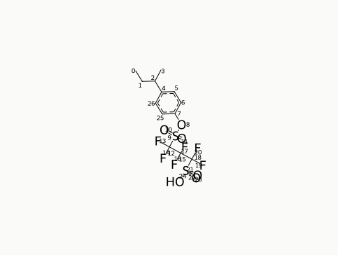 CCC(C)c1ccc(OS(=O)(=O)C(F)(F)C(F)(F)C(F)(F)S(=O)(=O)O)cc1